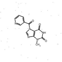 Cn1c(=O)[nH]c(=O)c2c1ncn2C(=O)c1cccnc1